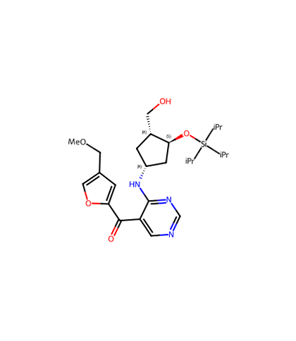 COCc1coc(C(=O)c2cncnc2N[C@@H]2C[C@H](CO)[C@@H](O[Si](C(C)C)(C(C)C)C(C)C)C2)c1